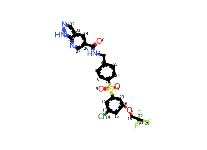 O=C(NCc1ccc(S(=O)(=O)c2cc(Cl)cc(OCC(F)(F)F)c2)cc1)c1cnc2[nH]ncc2c1